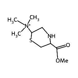 COC(=O)C1CSC([N+](C)(C)C)CN1